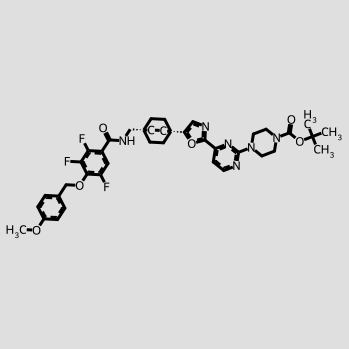 COc1ccc(COc2c(F)cc(C(=O)NC[C@]34CC[C@](c5cnc(-c6ccnc(N7CCN(C(=O)OC(C)(C)C)CC7)n6)o5)(CC3)CC4)c(F)c2F)cc1